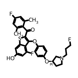 Cc1cc(F)cc(C)c1C(=O)c1sc2cc(O)cc(F)c2c1Oc1ccc(O[C@@H]2CCN(CCCF)C2)cc1